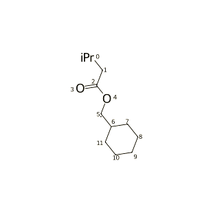 CC(C)CC(=O)O[CH]C1CCCCC1